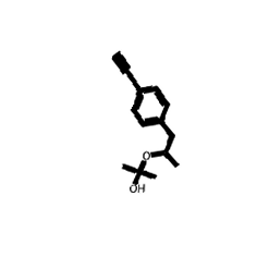 C#Cc1ccc(CC(C)OC(C)(C)O)cc1